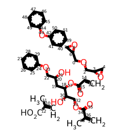 C(OCC1CO1)C1CO1.C=C(C)C(=O)O.C=CC(=O)OC(CC(O)COc1ccccc1)C(O)COC(=O)C(=C)C.c1ccc(Oc2ccccc2)cc1